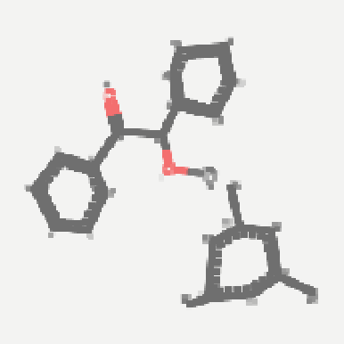 CC(C)OC(C(=O)c1ccccc1)c1ccccc1.Cc1cc(C)cc(C)c1